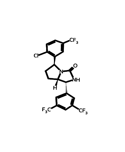 O=C1N[C@H](c2cc(C(F)(F)F)cc(C(F)(F)F)c2)[C@@H]2CC[C@@H](c3cc(C(F)(F)F)ccc3Cl)N12